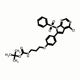 CC(C)(C)OC(=O)NCCCOc1ccc(-c2cc3c(Cl)ncnc3n2S(=O)(=O)c2ccccc2)cc1